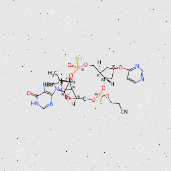 CC(C)(C)[Si](C)(C)O[C@H]1[C@H]2O[P@@](=O)(S)OC[C@H]3C[C@@H](Oc4ccncn4)C[C@@H]3O[P@@](=S)(OCCC#N)OC[C@H]1O[C@H]2n1cnc2c(=O)[nH]cnc21